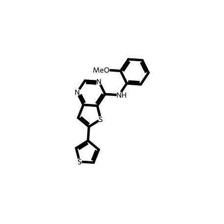 COc1ccccc1Nc1ncnc2cc(-c3ccsc3)sc12